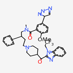 COc1ccc(C2C=NN=N2)cc1C(=O)N(C)CC(CCN1CCC(C(=O)c2nc3ccccc3n2CC(F)(F)F)CC1)c1ccccc1